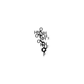 CC1(CNC(=O)c2cnn(-c3ccc(F)cc3F)n2)NC(=O)NC1=O